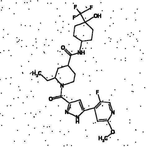 CCC1CC(C(=O)NC2CCC(O)(C(F)(F)F)CC2)CCN1C(=O)c1cc(-c2cc(OC)ncc2F)[nH]n1